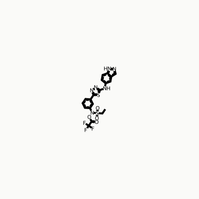 CCS(=O)(=O)N(OC(=O)C(F)(F)F)c1cccc(-c2nnc(Nc3ccc4[nH]ncc4c3)s2)c1